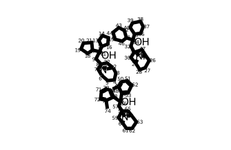 CN1C2CCCC1CC(CC(O)(C1CCCC1)C1CCCC1)C2.CN1C2CCCC1CC(CC(O)(C1CCCCC1)C1CCCCC1)C2.Cc1ccccc1C(O)(CC1CC2CCCC(C1)N2C)c1ccccc1C